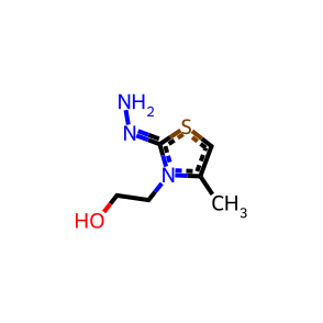 Cc1csc(=NN)n1CCO